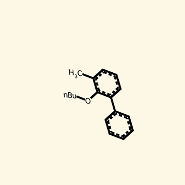 CCCCOc1c(C)cccc1-c1ccccc1